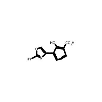 CC(C)c1nc(-c2cccc(C(=O)O)c2O)co1